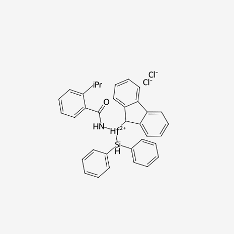 CC(C)c1ccccc1C(=O)[NH][Hf+2]([CH]1c2ccccc2-c2ccccc21)[SiH](c1ccccc1)c1ccccc1.[Cl-].[Cl-]